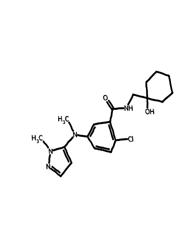 CN(c1ccc(Cl)c(C(=O)NCC2(O)CCCCC2)c1)c1ccnn1C